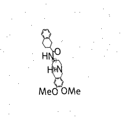 COc1cc2c(cc1OC)CN1CC[C@H](NC(=O)C3CCc4ccccc4C3)C[C@@H]1C2